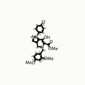 COC(=O)C1=C(O)c2c(cnn2-c2ccc(Cl)cc2)CN1Cc1ccc(OC)cc1OC